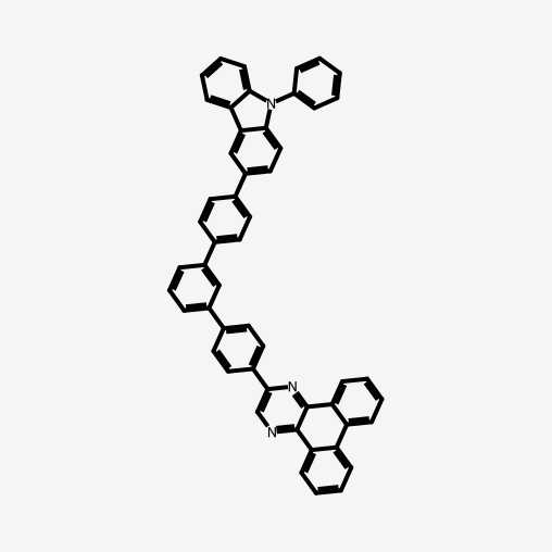 c1ccc(-n2c3ccccc3c3cc(-c4ccc(-c5cccc(-c6ccc(-c7cnc8c9ccccc9c9ccccc9c8n7)cc6)c5)cc4)ccc32)cc1